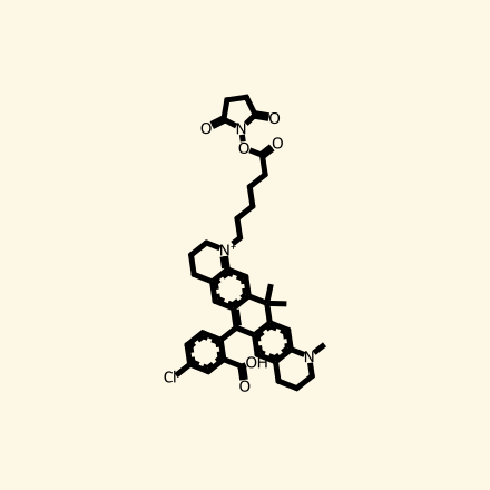 CN1CCCc2cc3c(cc21)C(C)(C)c1cc2c(cc1=C3c1ccc(Cl)cc1C(=O)O)CCC[N+]=2CCCCCC(=O)ON1C(=O)CCC1=O